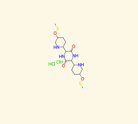 CSOC1CCC(C2NC(=O)C(C3CCC(OSC)CN3)NC2=O)NC1.Cl.Cl